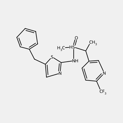 CC(c1ccc(C(F)(F)F)nc1)[SH](C)(=O)Nc1ncc(Cc2ccccc2)s1